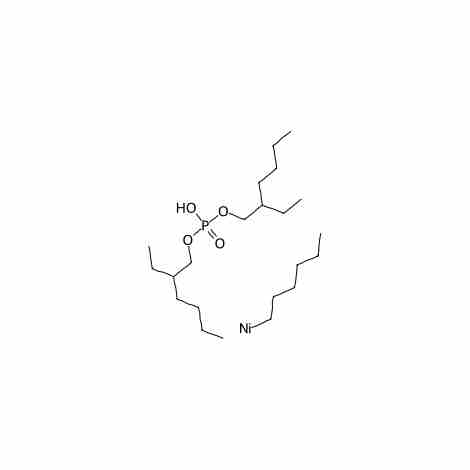 CCCCC(CC)COP(=O)(O)OCC(CC)CCCC.CCCCC[CH2][Ni]